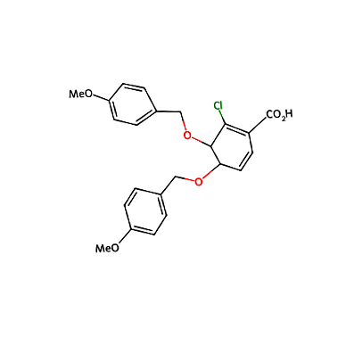 COc1ccc(COC2C=CC(C(=O)O)=C(Cl)C2OCc2ccc(OC)cc2)cc1